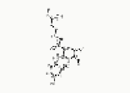 CCC(O)CCONC(=O)c1cc(Br)c(F)cc1Nc1ccc(I)cc1Cl